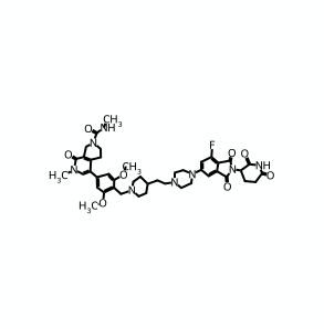 CNC(=O)N1CCc2c(-c3cc(OC)c(CN4CCC(CCN5CCN(c6cc(F)c7c(c6)C(=O)N(C6CCC(=O)NC6=O)C7=O)CC5)CC4)c(OC)c3)cn(C)c(=O)c2C1